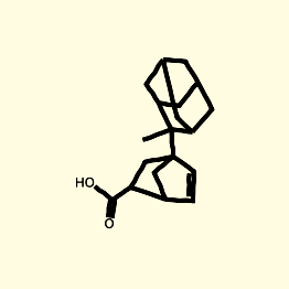 CC1(C23C=CC(C2)C(C(=O)O)C3)C2CC3CC(C2)CC1C3